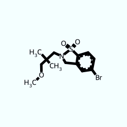 COCC(C)(C)CN1Cc2cc(Br)ccc2S1(=O)=O